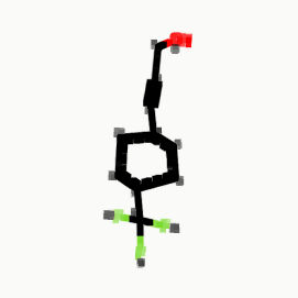 OCC#Cc1ccc(C(F)(F)F)cc1